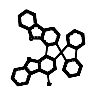 Brc1cc2c(c3oc4ccccc4c13)-c1c(ccc3c1oc1ccccc13)C21c2ccccc2-c2ccccc21